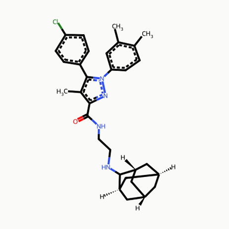 Cc1ccc(-n2nc(C(=O)NCCNC3[C@H]4C[C@@H]5C[C@@H](C[C@H]3C5)C4)c(C)c2-c2ccc(Cl)cc2)cc1C